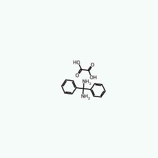 NC(N)(c1ccccc1)c1ccccc1.O=C(O)C(=O)O